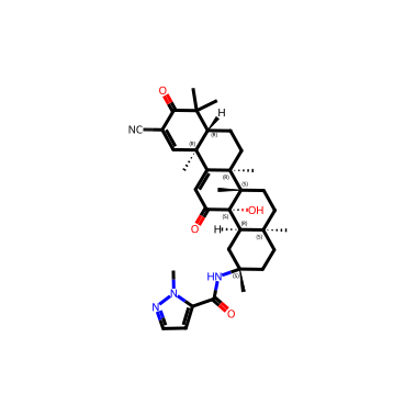 Cn1nccc1C(=O)N[C@@]1(C)CC[C@]2(C)CC[C@@]3(C)[C@]4(C)CC[C@H]5C(C)(C)C(=O)C(C#N)=C[C@]5(C)C4=CC(=O)[C@]3(O)[C@@H]2C1